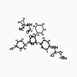 CC(C)(C)OC(=O)Nc1ccc(-c2nc(-c3ccc(F)cc3)oc2[C@@H]2CCCC[C@H]2C(=O)NC2(C#N)CC2)cc1